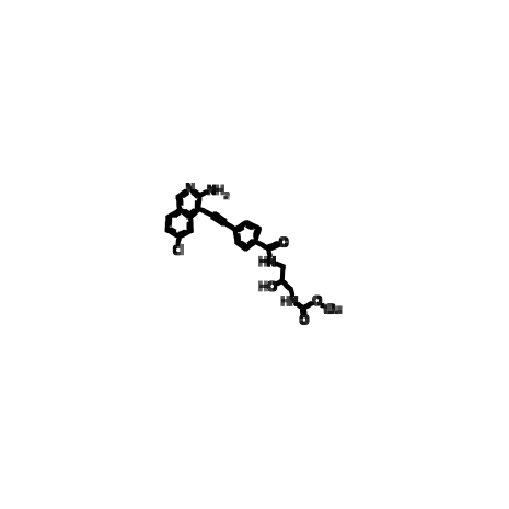 CC(C)(C)OC(=O)NCC(O)CNC(=O)c1ccc(C#Cc2c(N)ncc3ccc(Cl)cc23)cc1